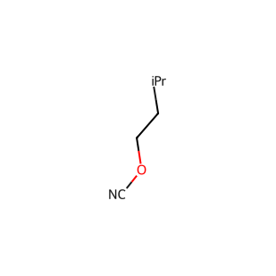 CC(C)CCOC#N